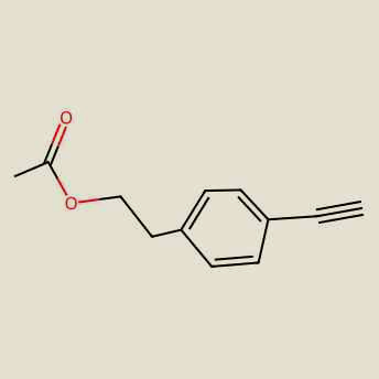 C#Cc1ccc(CCOC(C)=O)cc1